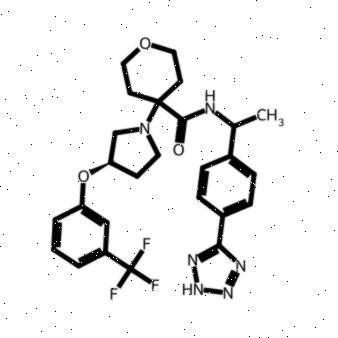 CC(NC(=O)C1(N2CC[C@@H](Oc3cccc(C(F)(F)F)c3)C2)CCOCC1)c1ccc(-c2nn[nH]n2)cc1